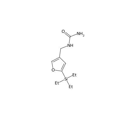 CC[Si](CC)(CC)c1cc(CNC(N)=O)co1